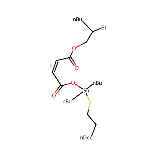 CCCCCCCCCCCC[S][Sn]([CH2]CCC)([CH2]CCC)[O]C(=O)/C=C\C(=O)OCC(CC)CCCC